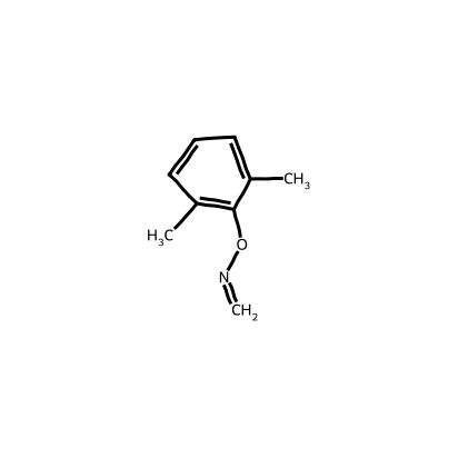 C=NOc1c(C)cccc1C